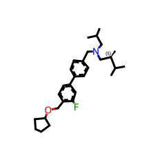 CC(C)CN(Cc1ccc(-c2ccc(COC3CCCC3)c(F)c2)cc1)C[C@@H](C)C(C)C